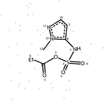 CCC(=O)OS(=O)(=O)Nc1ccnn1C